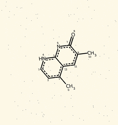 Cc1cc[nH]c2nc(=O)c(C)cc1-2